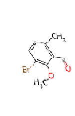 COc1c(Br)ccc(C)c1C=O